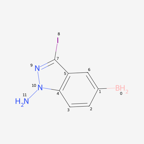 Bc1ccc2c(c1)c(I)nn2N